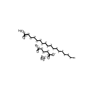 CCCCCCCCCCCCCCCCCC(=O)O.O=C([O-])CCCC(=O)[O-].[Ag+].[Ag+]